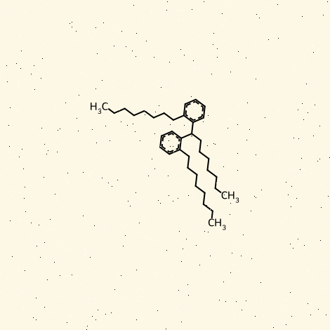 CCCCCCCCc1ccccc1[C](CCCCCCC)c1ccccc1CCCCCCCC